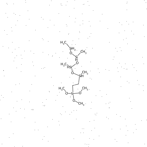 CO[Si](CC[SiH](C)O[SiH](C)O[SiH](C)O[SiH2]C)(OC)OC